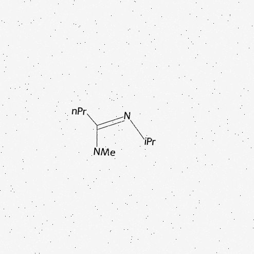 CCC/C(=N/C(C)C)NC